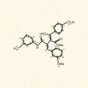 COC(=O)C(=C(/C)c1ccc(C(=O)O)cc1)/C(=C\c1cccc(OC)c1)C(=O)Nc1ccnc(C)c1